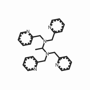 CC(N(Cc1ccccn1)Cc1ccccn1)N(Cc1ccccn1)Cc1ccccn1